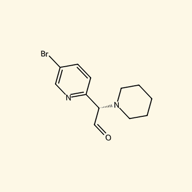 O=C[C@H](c1ccc(Br)cn1)N1CCCCC1